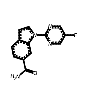 NC(=O)c1ccc2ccn(-c3ncc(F)cn3)c2c1